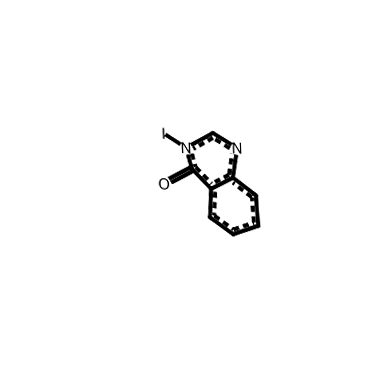 O=c1c2ccccc2ncn1I